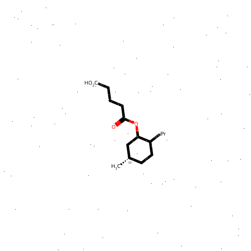 CC(C)C1CC[C@H](C)CC1OC(=O)CCCC(=O)O